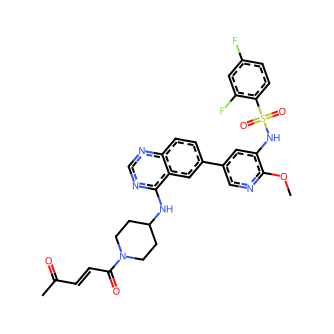 COc1ncc(-c2ccc3ncnc(NC4CCN(C(=O)/C=C/C(C)=O)CC4)c3c2)cc1NS(=O)(=O)c1ccc(F)cc1F